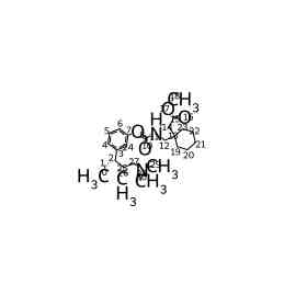 CC[C@H](c1cccc(OC(=O)NCC2(CC(=O)OC)CCCCC2)c1)[C@@H](C)CN(C)C